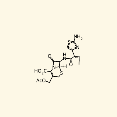 C/C=C(\C(=O)NC1C(=O)N2C(C(=O)O)=C(COC(C)=O)CS[C@H]12)c1csc(N)n1